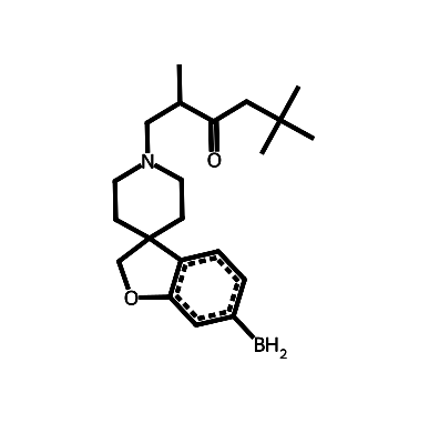 Bc1ccc2c(c1)OCC21CCN(CC(C)C(=O)CC(C)(C)C)CC1